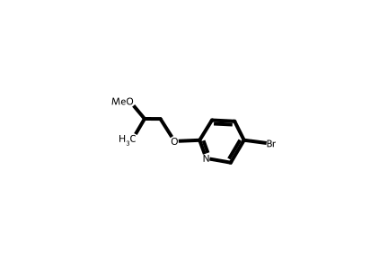 COC(C)COc1ccc(Br)cn1